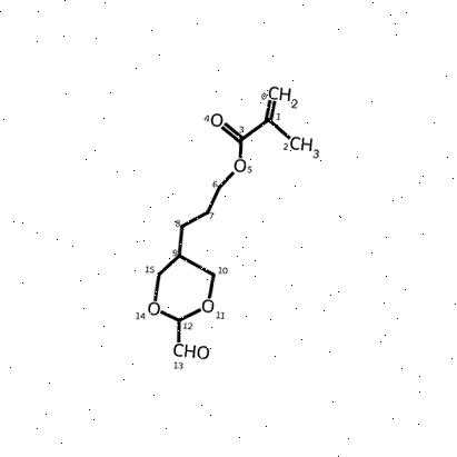 C=C(C)C(=O)OCCCC1COC(C=O)OC1